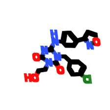 O=c1nc(Nc2ccc(-c3ccon3)cc2)n(Cc2ccc(Cl)cc2)c(=O)n1CCO